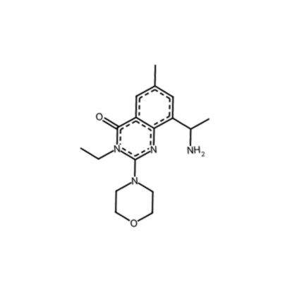 CCn1c(N2CCOCC2)nc2c(C(C)N)cc(C)cc2c1=O